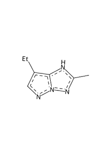 CCc1cnn2nc(C)[nH]c12